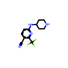 N#Cc1ccc(NC2CCNCC2)nc1C(F)(F)F